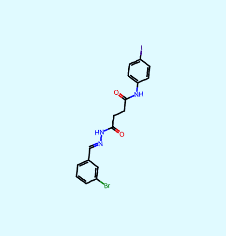 O=C(CCC(=O)Nc1ccc(I)cc1)N/N=C/c1cccc(Br)c1